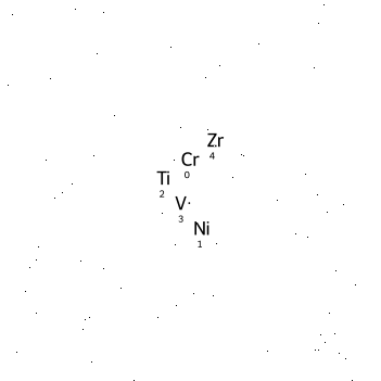 [Cr].[Ni].[Ti].[V].[Zr]